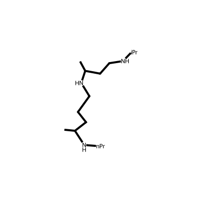 CCCNC(C)CCCNC(C)CCNC(C)C